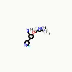 CC(C)CC(C)(N)COc1ccc(-c2ccnc(F)c2)cc1C#N